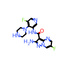 Nc1nn2cc(F)cnc2c1C(=O)Nc1cncc(F)c1N1CCNCC1